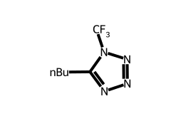 CCCCc1nnnn1C(F)(F)F